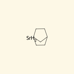 C1CC2CCC1C2.[SrH2]